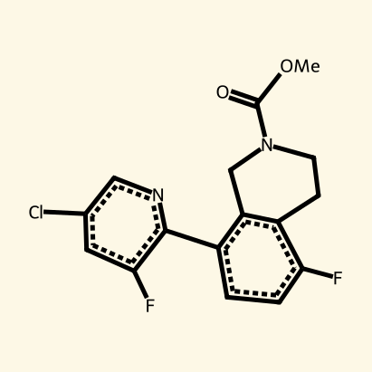 COC(=O)N1CCc2c(F)ccc(-c3ncc(Cl)cc3F)c2C1